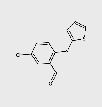 O=Cc1cc(Cl)ccc1Sc1cccs1